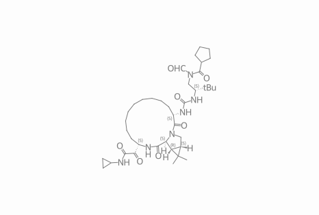 CC(C)(C)[C@@H](CN(C=O)C(=O)C1CCCC1)NC(=O)N[C@H]1CCCCCCCCC[C@@H](C(=O)C(=O)NC2CC2)NC(=O)[C@@H]2[C@@H]3[C@H](CN2C1=O)C3(C)C